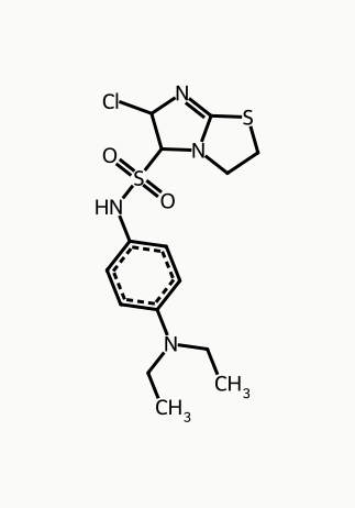 CCN(CC)c1ccc(NS(=O)(=O)C2C(Cl)N=C3SCCN32)cc1